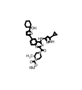 C[C@@H]1CN(C(=O)c2nc(Nc3cc(C4CC4)[nH]n3)c3cc(-c4ccc(C5(O)CCCCC5)s4)ccc3n2)CCN1C(=O)OC(C)(C)C